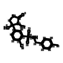 CCN1C(=O)SCC1(O)c1ccc(Cl)c(S(=O)(=O)NCc2ccc(C)cc2)c1